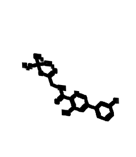 CC(C)(C)OC(=O)CNC(=O)c1ncc(-c2cccc(Cl)c2)cc1O